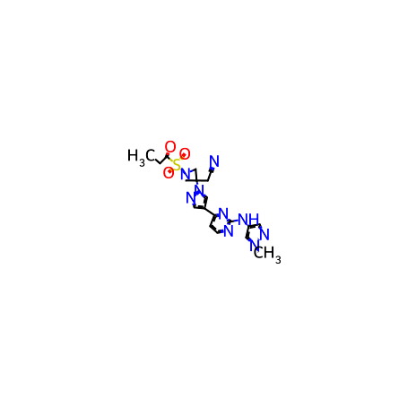 CCC(=O)S(=O)(=O)N1CC(CC#N)(n2cc(-c3ccnc(Nc4cnn(C)c4)n3)cn2)C1